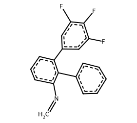 C=Nc1cccc(-c2cc(F)c(F)c(F)c2)c1-c1ccccc1